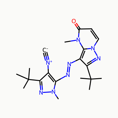 [C-]#[N+]c1c(C(C)(C)C)nn(C)c1/N=N/c1c(C(C)(C)C)nn2ccc(=O)n(C)c12